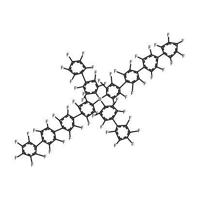 Fc1c(F)c(F)c(-c2c(F)c(F)c(-c3c(F)c(F)c(-c4c(F)c(F)c([B-](c5c(F)c(F)c(-c6c(F)c(F)c(F)c(F)c6F)c(F)c5F)(c5c(F)c(F)c(-c6c(F)c(F)c(F)c(F)c6F)c(F)c5F)c5c(F)c(F)c(-c6c(F)c(F)c(-c7c(F)c(F)c(-c8c(F)c(F)c(F)c(F)c8F)c(F)c7F)c(F)c6F)c(F)c5F)c(F)c4F)c(F)c3F)c(F)c2F)c(F)c1F